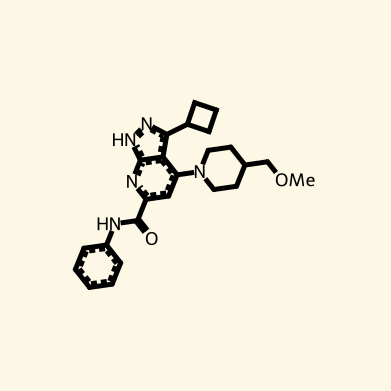 COCC1CCN(c2cc(C(=O)Nc3ccccc3)nc3[nH]nc(C4CCC4)c23)CC1